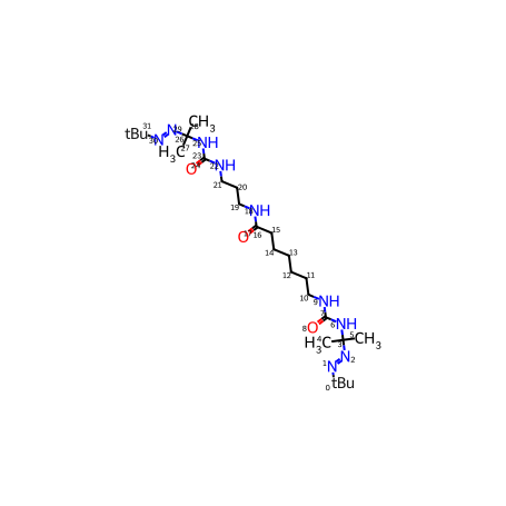 CC(C)(C)N=NC(C)(C)NC(=O)NCCCCCCC(=O)NCCCNC(=O)NC(C)(C)N=NC(C)(C)C